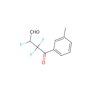 Cc1cccc(C(=O)C(F)(F)C(F)C=O)c1